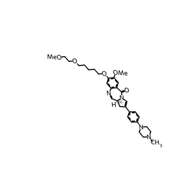 COCCOCCCCCOc1cc2c(cc1OC)C(=O)N1C=C(c3ccc(N4CCN(C)CC4)cc3)C[C@H]1C=N2